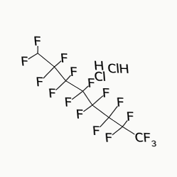 Cl.Cl.FC(F)C(F)(F)C(F)(F)C(F)(F)C(F)(F)C(F)(F)C(F)(F)C(F)(F)F